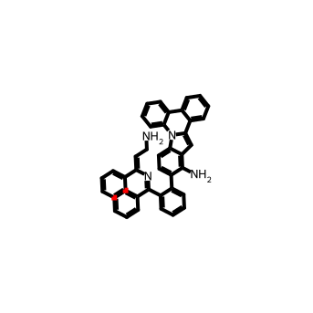 NC/C=C(\N=C(c1ccccc1)c1ccccc1-c1ccc2c(cc3c4ccccc4c4ccccc4n23)c1N)c1ccccc1